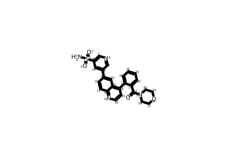 NS(=O)(=O)c1cncc(-c2ccc3nccc(-c4ccccc4C(=O)N4CCOCC4)c3c2)c1